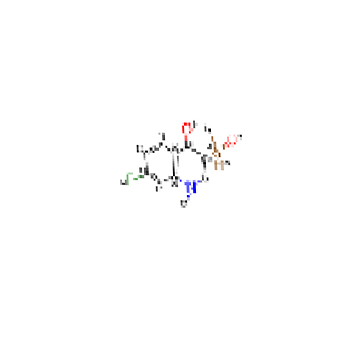 Cn1cc([SH](C)(C)=O)c(=O)c2ccc(F)cc21